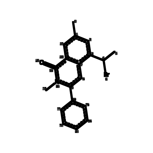 Cc1cc(C(C)Br)c2cc(-c3ccccc3)n(C)c(=O)c2c1